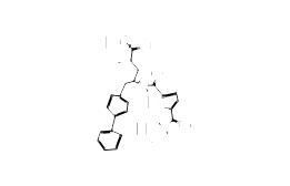 C[C@H](CC(Cc1ccc(-c2ccccc2)cc1)NC(=O)c1ccc(C(N)=O)s1)C(=O)O